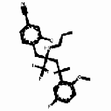 CCCNC(Cc1ccc(C#N)cc1Cl)(CC(C)(C)c1cc(F)ccc1OC)C(F)(F)F